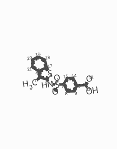 Cc1c(NS(=O)(=O)c2ccc(C(=O)O)cc2)sc2ccccc12